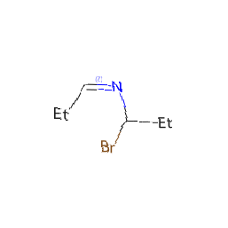 CC/C=N\C(Br)CC